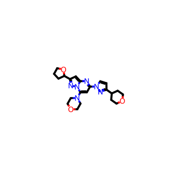 c1cn(-c2cc(N3CCOCC3)n3nc(C4CCCO4)cc3n2)nc1C1CCOCC1